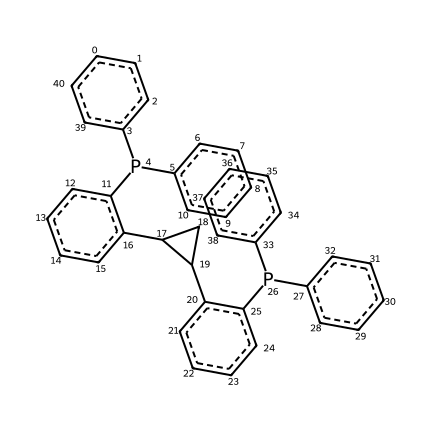 c1ccc(P(c2ccccc2)c2ccccc2C2CC2c2ccccc2P(c2ccccc2)c2ccccc2)cc1